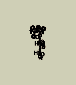 COC(=O)C(CCCCNC(=O)OC(C)(C)C)NC(=O)CCC(=O)OCc1nc2ccccc2c(=O)n1N1C=C(c2ccccc2)n2c(C)cc3c2C(=CCC3)C1=O